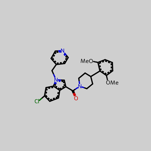 COc1cccc(OC)c1C1CCN(C(=O)c2cn(Cc3ccncc3)c3cc(Cl)ccc23)CC1